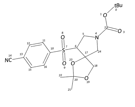 CC(C)(C)OC(=O)N1CC(S(=O)(=O)c2ccc(C#N)cc2)C2(COC(C)(C)O2)C1